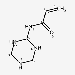 C=CC(=O)NC1NCNCN1